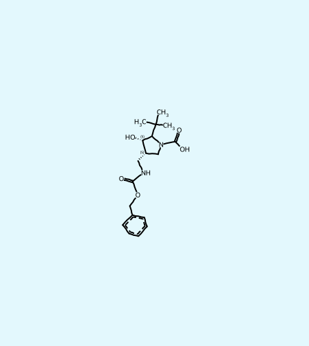 CC(C)(C)C1[C@@H](O)[C@@H](CNC(=O)OCc2ccccc2)CN1C(=O)O